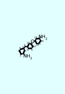 Nc1cccc(Cc2cccc(Oc3cccc(N)c3)c2)c1